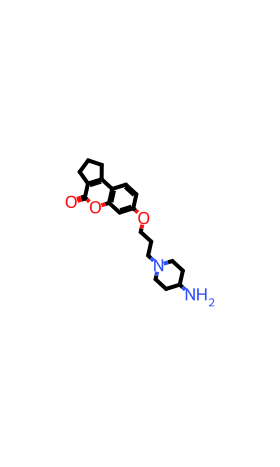 NC1CCN(CCCOc2ccc3c4c(c(=O)oc3c2)CCC4)CC1